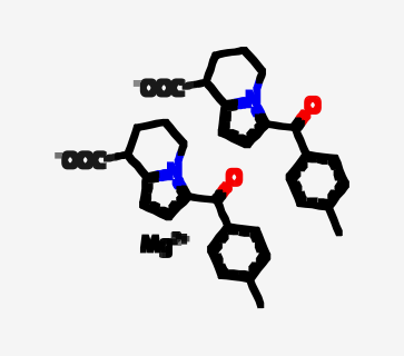 Cc1ccc(C(=O)c2ccc3n2CCCC3C(=O)[O-])cc1.Cc1ccc(C(=O)c2ccc3n2CCCC3C(=O)[O-])cc1.[Mg+2]